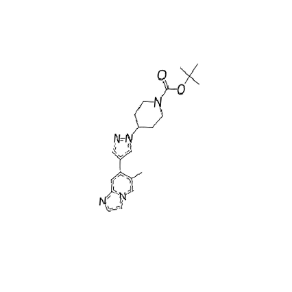 Cc1cn2ccnc2cc1-c1cnn(C2CCN(C(=O)OC(C)(C)C)CC2)c1